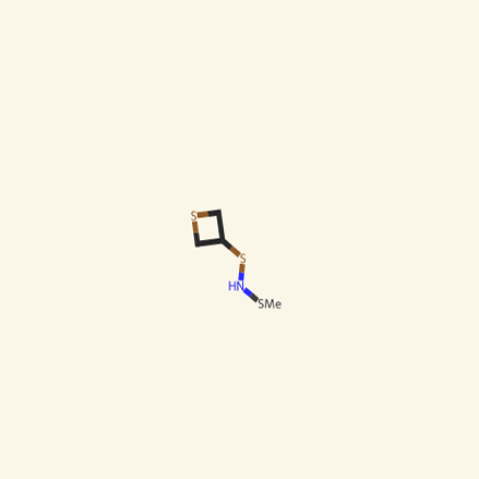 CSNSC1CSC1